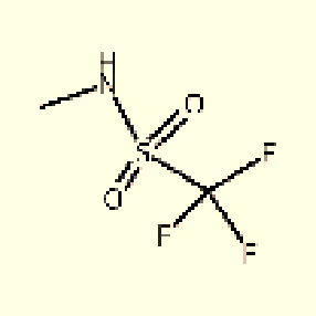 CNS(=O)(=O)C(F)(F)F